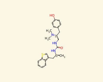 C[C@@H](Cc1csc2ccccc12)NC(=O)NC[C@H](Cc1ccc(O)cc1)N(C)C